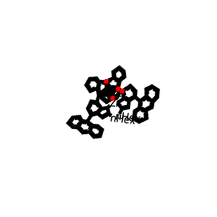 CCCCCCC1=Cc2c(-c3c4ccccc4cc4ccccc34)ccc(-c3c4ccccc4cc4ccccc34)c2[CH]1[Zr]([CH]1C(CCCCCC)=Cc2c(-c3c4ccccc4cc4ccccc34)ccc(-c3c4ccccc4cc4ccccc34)c21)[SiH](C)C